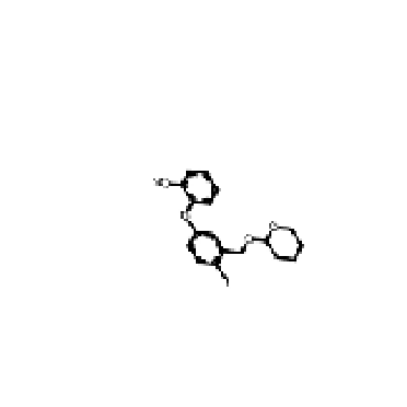 N#Cc1ccccc1Oc1ccc(I)c(COC2CCCCO2)c1